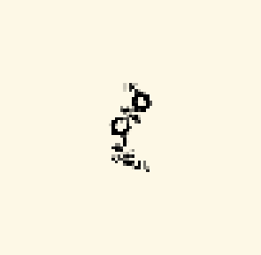 C=CS(=O)(=O)NC[C@H]1CCCN(S(=O)(=O)c2cccc(C#N)c2)C1